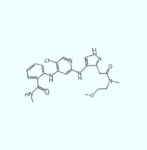 CNC(=O)c1ccccc1Nc1cc(Nc2c[nH]nc2CC(=O)N(C)CCOC)ncc1Cl